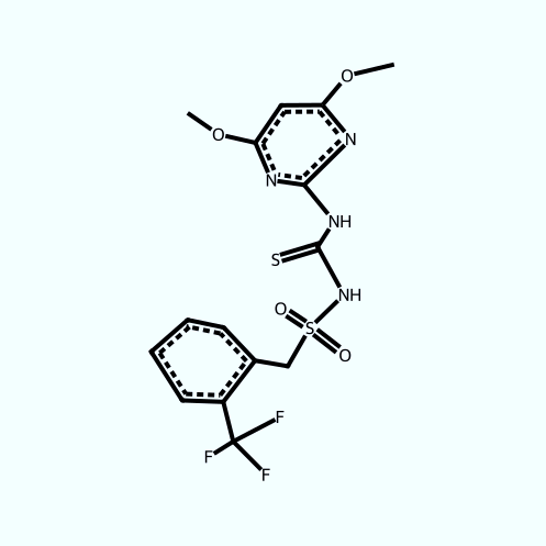 COc1cc(OC)nc(NC(=S)NS(=O)(=O)Cc2ccccc2C(F)(F)F)n1